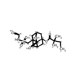 CCC(C)(C)C(=O)OC12CC3CC(CS(=O)(=O)NC=O)(CC(C1)C(=O)O3)C2